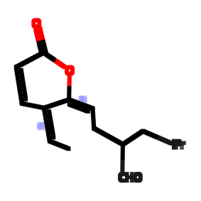 C/C=c1/ccc(=O)o/c1=C/CC(C=O)CC(C)C